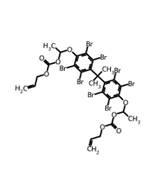 C=CCOC(=O)OC(C)Oc1c(Br)c(Br)c(C(C)(C)c2c(Br)c(Br)c(OC(C)OC(=O)OCC=C)c(Br)c2Br)c(Br)c1Br